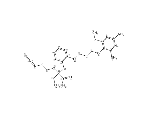 CCc1nc(N)nc(N)c1OCCCOc1ccccc1CC(CC)(OCCN=[N+]=[N-])C(N)=O